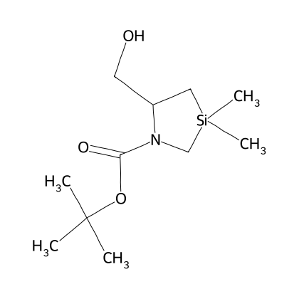 CC(C)(C)OC(=O)N1C[Si](C)(C)CC1CO